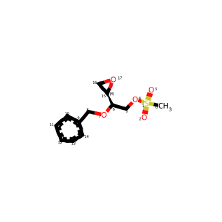 CS(=O)(=O)OCC(OCc1ccccc1)[C@H]1CO1